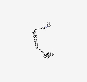 O=C(/C=C/c1cccnc1)NCCCCC1CCN(C(=O)c2ccc(N3CCC(N4CCN(C(=O)CCCCCCNc5cccc6c5C(=O)N(C5CCC(=O)NC5=O)C6=O)CC4)CC3)nn2)CC1